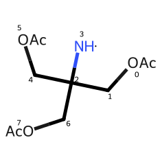 CC(=O)OCC([NH])(COC(C)=O)COC(C)=O